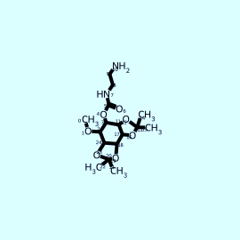 COC1C(OC(=O)NCCN)C2OC(C)(C)OC2C2OC(C)(C)OC12